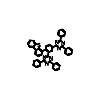 c1ccc(-c2nc(-c3ccccc3)nc(-c3ccc(-c4cccc5c4sc4ccccc45)c(-c4nc(-c5ccccc5)nc(-c5ccccc5)n4)c3)n2)cc1